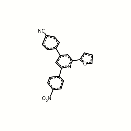 N#Cc1ccc(-c2cc(-c3ccc([N+](=O)[O-])cc3)nc(-c3ccco3)c2)cc1